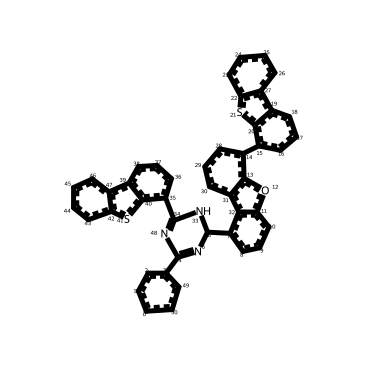 c1ccc(C2=NC(c3cccc4oc5c(-c6cccc7c6sc6ccccc67)cccc5c34)NC(c3cccc4c3sc3ccccc34)=N2)cc1